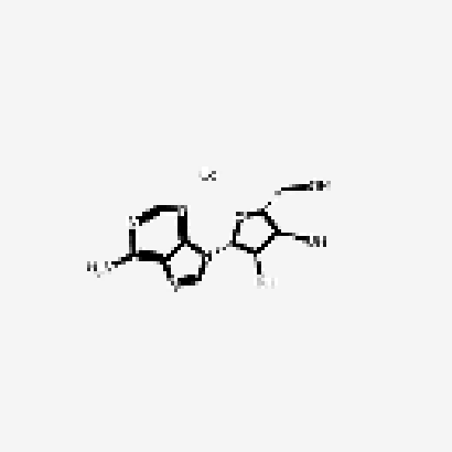 Nc1ncnc2c1ncn2[C@@H]1O[C@H](CO)[C@@H](O)[C@H]1O.[Co]